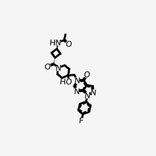 CC(=O)N[C@H]1C[C@H](C(=O)N2CCC(O)(Cn3cnc4c(cnn4-c4ccc(F)cc4)c3=O)CC2)C1